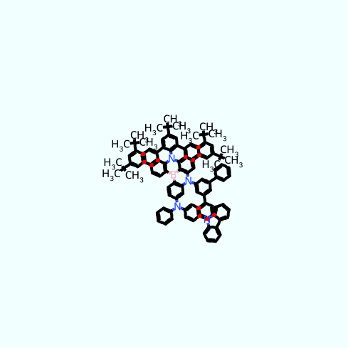 CC(C)(C)c1cc(-c2ccc3c(c2)N(c2c(-c4ccccc4)cc(C(C)(C)C)cc2-c2ccccc2)c2cc(-c4cc(C(C)(C)C)cc(C(C)(C)C)c4)cc4c2B3c2ccc(N(c3ccccc3)c3ccc(-n5c6ccccc6c6ccccc65)cc3)cc2N4c2cc(-c3ccccc3)cc(-c3ccccc3)c2)cc(C(C)(C)C)c1